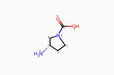 N[C@H]1CCN(C(=O)O)C1